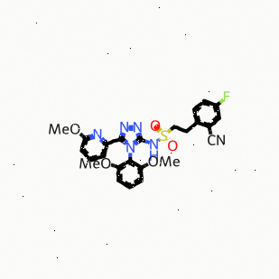 COc1cccc(-c2nnc(NS(=O)(=O)CCc3ccc(F)cc3C#N)n2-c2c(OC)cccc2OC)n1